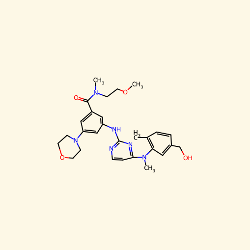 COCCN(C)C(=O)c1cc(Nc2nccc(N(C)c3cc(CO)ccc3C)n2)cc(N2CCOCC2)c1